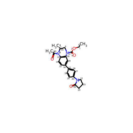 CCOC(=O)N1C[C@H](C)N(C(C)=O)c2ccc(-c3ccc(N4CCCC4=O)cc3)cc21